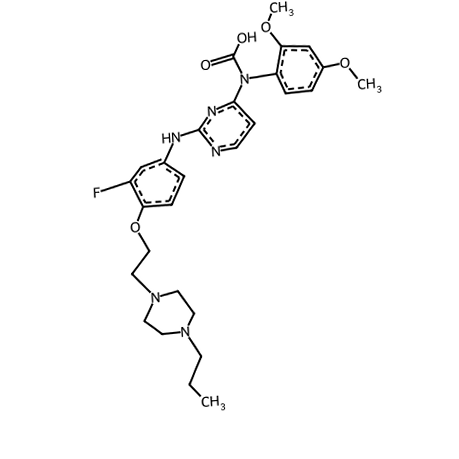 CCCN1CCN(CCOc2ccc(Nc3nccc(N(C(=O)O)c4ccc(OC)cc4OC)n3)cc2F)CC1